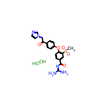 CS(=O)(=O)c1cc(C(=O)N=C(N)N)ccc1Oc1ccc(C(=O)Cn2ccnc2)cc1.Cl.Cl